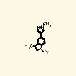 CC1CN(C(C)C)c2ccc(-c3cnn(C)c3)cc21